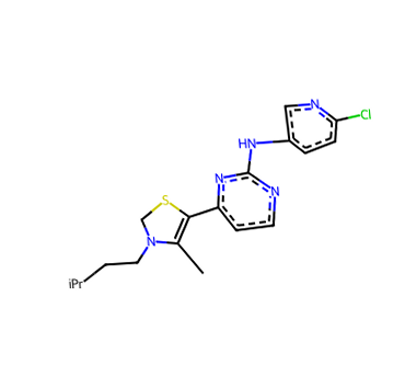 CC1=C(c2ccnc(Nc3ccc(Cl)nc3)n2)SCN1CCC(C)C